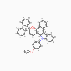 COc1ccc(-n2c3ccccc3c3c4ccccc4c4c(c32)C=CC(c2ccccc2)(c2ccccc2)O4)cc1